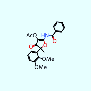 COc1cccc(C2(C)OC(NC(=O)c3ccccc3)=C(OC(C)=O)C2=O)c1OC